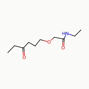 CCNC(=O)COCCCC(=O)CC